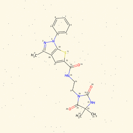 Cc1nn(-c2ccccc2)c2sc(C(=O)NCCN3C(=O)NC(C)(C)C3=O)cc12